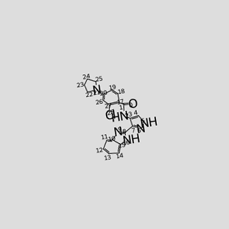 O=C(Nc1c[nH]nc1-c1nc2ccccc2[nH]1)c1ccc(N2CCCC2)cc1Cl